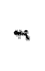 CC1(c2ccccc2)C(=O)Nc2nc(-c3nc(CCC(F)(F)C(F)(F)F)c4ncccn34)nc(N)c21